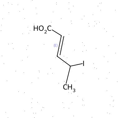 CC(I)/C=C/C(=O)O